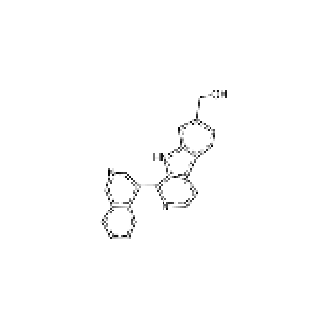 OCc1ccc2c(c1)[nH]c1c(-c3cncc4ccccc34)nccc12